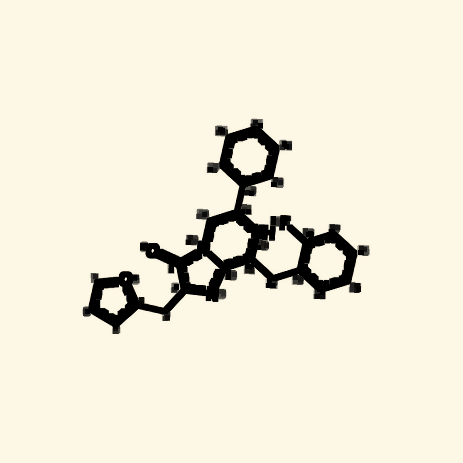 O=c1c(Cc2ccco2)nc2c(Cc3ccccc3F)[nH]c(-c3ccccc3)cn1-2